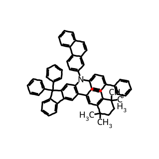 CC1(C)CCC(C)(C)c2cc(-c3cc4c(cc3N(c3ccc(-c5ccccc5)cc3)c3ccc5c(ccc6ccccc65)c3)C(c3ccccc3)(c3ccccc3)c3ccccc3-4)ccc21